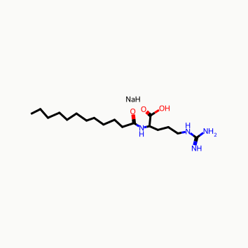 CCCCCCCCCCCC(=O)NC(CCCNC(=N)N)C(=O)O.[NaH]